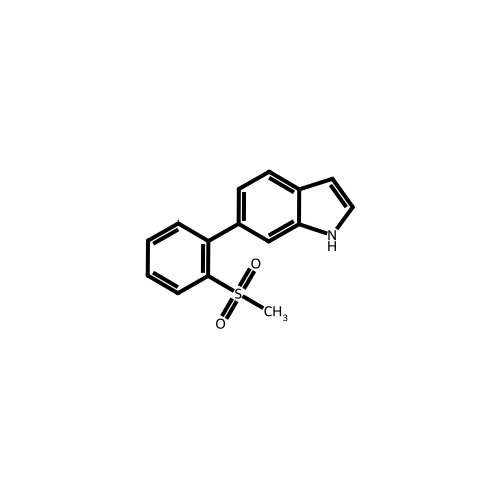 CS(=O)(=O)c1ccc[c]c1-c1ccc2cc[nH]c2c1